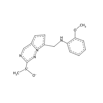 COc1ccccc1NCc1ccc2cnc([S+](C)[O-])nn12